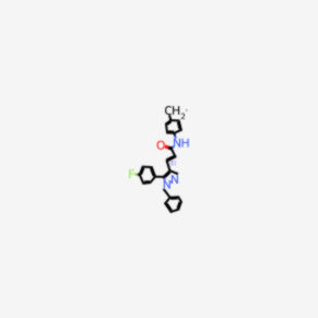 [CH2]c1ccc(NC(=O)/C=C/c2cnn(Cc3ccccc3)c2-c2ccc(F)cc2)cc1